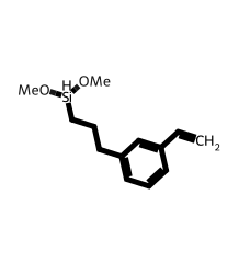 C=Cc1cccc(CCC[SiH](OC)OC)c1